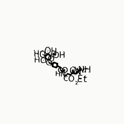 CCOC(=O)[C@H](CCC(=O)C=[N+]=N)NC(=O)OCc1ccc(O[C@@H]2O[C@H](CO)[C@@H](O)[C@H](O)[C@H]2O)cc1